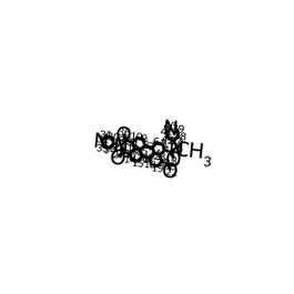 CN(C(=O)c1ccc2c3ccc4c5c(ccc(c6ccc(C=O)c1c62)c53)C(=O)N(c1ccncc1)C4=O)c1ccncc1